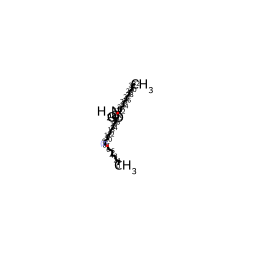 CCCCCCCC/C=C\CCCCCCCC(=O)OC(N)CCCCCCCCCCC